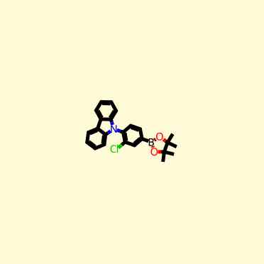 CC1(C)OB(c2ccc(-n3c4ccccc4c4ccccc43)c(Cl)c2)OC1(C)C